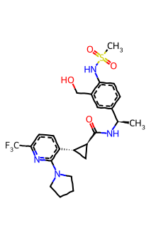 C[C@@H](NC(=O)[C@H]1C[C@@H]1c1ccc(C(F)(F)F)nc1N1CCCC1)c1ccc(NS(C)(=O)=O)c(CO)c1